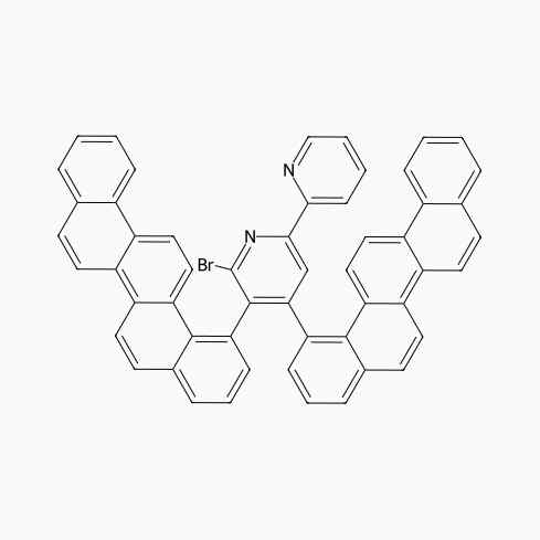 Brc1nc(-c2ccccn2)cc(-c2cccc3ccc4c5ccc6ccccc6c5ccc4c23)c1-c1cccc2ccc3c4ccc5ccccc5c4ccc3c12